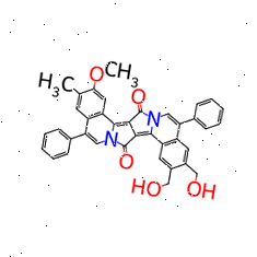 COc1cc2c(cc1C)C(c1ccccc1)=CN1C(=O)C3=C4c5cc(CO)c(CO)cc5C(c5ccccc5)=CN4C(=O)C3=C21